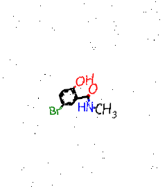 CNC(=O)c1cc(Br)ccc1O